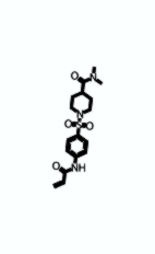 C=CC(=O)Nc1ccc(S(=O)(=O)N2CCC(C(=O)N(C)C)CC2)cc1